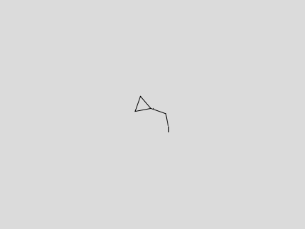 IC[C]1CC1